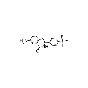 Nc1ccc2nc(-c3ccc(C(F)(F)F)cc3)[nH]c(=O)c2c1